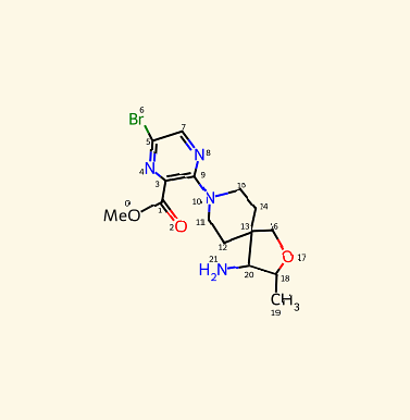 COC(=O)c1nc(Br)cnc1N1CCC2(CC1)COC(C)C2N